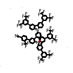 N#Cc1ccc(-c2ccc(-n3c4ccc(-c5cc(C(F)(F)F)cc(C(F)(F)F)c5)cc4c4cc(-c5cc(C(F)(F)F)cc(C(F)(F)F)c5)ccc43)c(-c3cc(-n4c5ccc(-c6cc(C(F)(F)F)cc(C(F)(F)F)c6)cc5c5cc(-c6cc(C(F)(F)F)cc(C(F)(F)F)c6)ccc54)ccc3C#N)c2)c(C(F)(F)F)c1